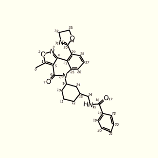 Cc1onc2c1c(=O)n(C1CCCC(CNC(=O)c3ccccc3)C1)c1cccc(C3=NCCO3)c21